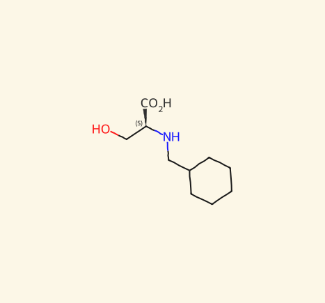 O=C(O)[C@H](CO)NCC1CCCCC1